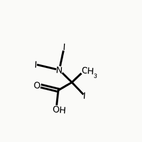 CC(I)(C(=O)O)N(I)I